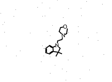 CC1(C)CN(CCN2CCOCC2)c2c[c]ccc21